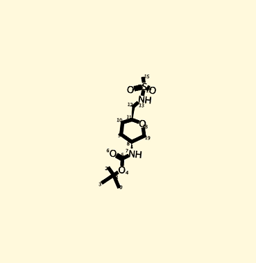 CC(C)(C)OC(=O)N[C@@H]1CC[C@@H](CNS(C)(=O)=O)OC1